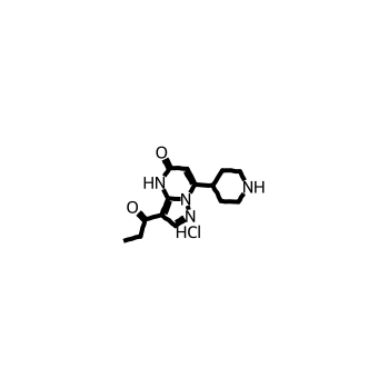 CCC(=O)c1cnn2c(C3CCNCC3)cc(=O)[nH]c12.Cl